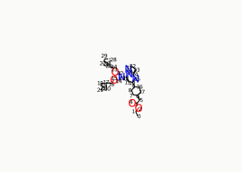 CCOC(=O)C=C1CCC(c2cc(N(COCC[Si](C)(C)C)COCC[Si](C)(C)C)n3nccc3n2)CC1